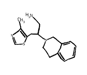 Cc1ncsc1C(CN)N1CCc2ccccc2C1